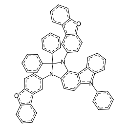 c1ccc(-n2c3ccccc3c3c4c(ccc32)N(c2ccc3oc5ccccc5c3c2)C(c2ccccc2)(c2ccccc2)N4c2ccc3oc4ccccc4c3c2)cc1